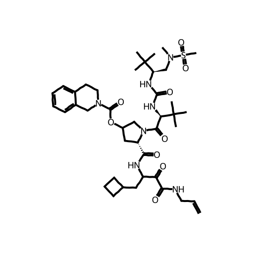 C=CCNC(=O)C(=O)C(CC1CCC1)NC(=O)[C@@H]1CC(OC(=O)N2CCc3ccccc3C2)CN1C(=O)[C@@H](NC(=O)N[C@H](CN(C)S(C)(=O)=O)C(C)(C)C)C(C)(C)C